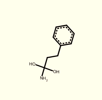 NC(O)(O)CCc1ccccc1